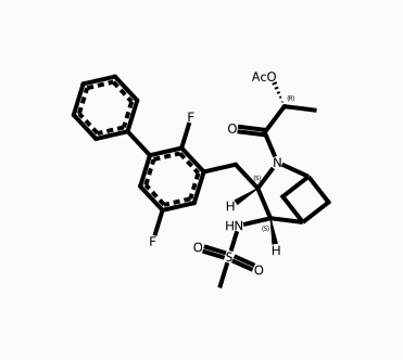 CC(=O)O[C@H](C)C(=O)N1C2CC(C2)[C@H](NS(C)(=O)=O)[C@@H]1Cc1cc(F)cc(-c2ccccc2)c1F